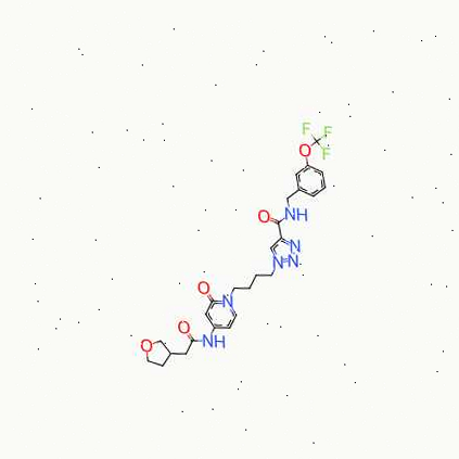 O=C(CC1CCOC1)Nc1ccn(CCCCn2cc(C(=O)NCc3cccc(OC(F)(F)F)c3)nn2)c(=O)c1